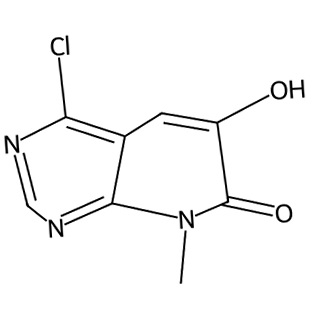 Cn1c(=O)c(O)cc2c(Cl)ncnc21